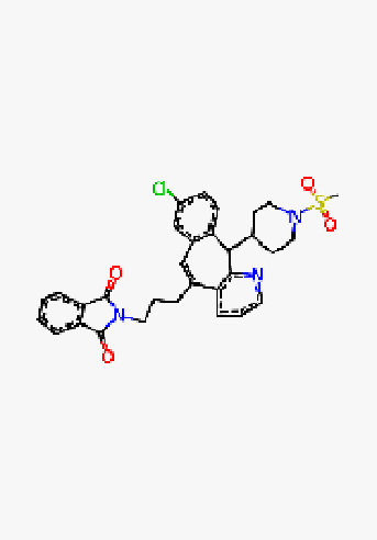 CS(=O)(=O)N1CCC(C2c3ccc(Cl)cc3C=C(CCCN3C(=O)c4ccccc4C3=O)c3cccnc32)CC1